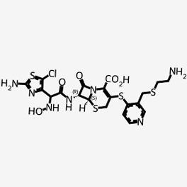 NCCSCc1cnccc1SC1=C(C(=O)O)N2C(=O)[C@@H](NC(=O)C(NO)c3nc(N)sc3Cl)[C@@H]2SC1